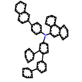 c1ccc(-c2cccc(-c3ccc(N(c4ccc(-c5ccc6ccccc6c5)cc4)c4cc5ccccc5c5ccccc45)cc3-c3ccccc3)c2)cc1